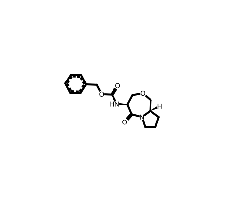 O=C(N[C@H]1COC[C@@H]2CCCN2C1=O)OCc1ccccc1